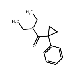 CCN(CC)C(=O)C1(c2ccccc2)CC1